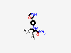 CCc1c(C)c(C(N)=O)nn1-c1ccc([C@H]2CNCCO2)cc1